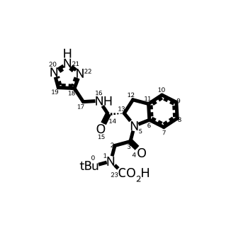 CC(C)(C)N(CC(=O)N1c2ccccc2C[C@H]1C(=O)NCc1cn[nH]n1)C(=O)O